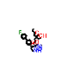 CCCCC(CC)(CCC(=O)[C@@]1(C(=O)NC)NNCC[C@H]1c1ccc(-c2ccc(F)cc2)cc1)C(=O)O